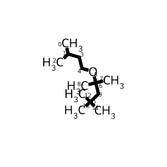 CC(C)CCOC(C)(C)CC(C)(C)C